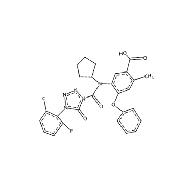 Cc1cc(Oc2ccccc2)c(N(C(=O)n2nnn(-c3c(F)cccc3F)c2=O)C2CCCC2)cc1C(=O)O